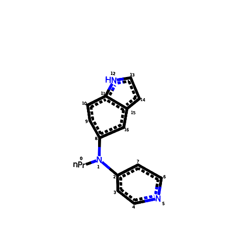 CCCN(c1ccncc1)c1ccc2[nH]ccc2c1